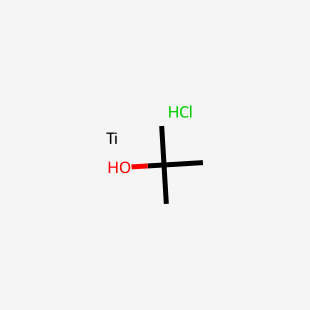 CC(C)(C)O.Cl.[Ti]